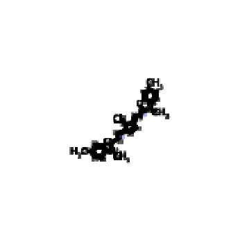 Cc1ccc2c(c1)O/C(=C\C=C1/C=CC(/C=C/c3oc4cc(C)ccc4[n+]3C)=C1Cl)N2C